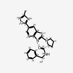 Cc1noc(-c2cnc3nc(N4CCC[C@@H]4C(=O)N[C@H](C)c4ccccc4)sc3c2)n1